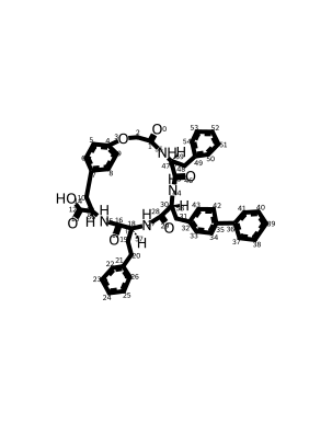 O=C1COc2ccc(cc2)C[C@@H](C(=O)O)NC(=O)[C@H](CCc2ccccc2)NC(=O)[C@@H](Cc2ccc(-c3ccccc3)cc2)NC(=O)[C@H](Cc2ccccc2)N1